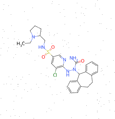 CCN1CCCC1CNS(=O)(=O)c1cnc(NN(C(N)=O)C2c3ccccc3CCc3ccccc32)c(Cl)c1